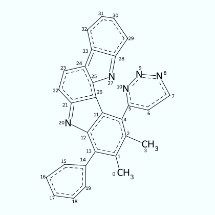 Cc1c(C)c(-c2ccnnn2)c2c(c1-c1ccccc1)N=c1ccc3c(c1-2)N=c1ccccc1=3